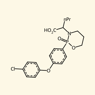 CCCC(C(=O)O)N1CCCOP1(=O)c1ccc(Oc2ccc(Cl)cc2)cc1